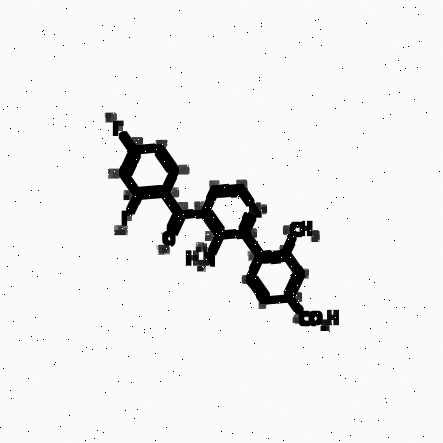 Cc1cc(C(=O)O)ccc1-c1nccc(C(=O)c2ccc(F)cc2F)c1N